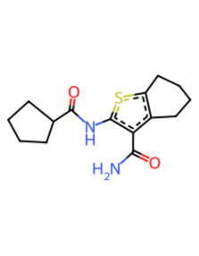 NC(=O)c1c(NC(=O)C2CCCC2)sc2c1CCCC2